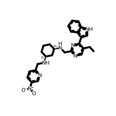 CCc1cnc(CN[C@@H]2CCC[C@H](NCc3ccc([N+](=O)[O-])cn3)C2)nc1-c1c[nH]c2ccccc12